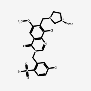 CCS(=O)(=O)c1ccc(Cl)cc1Cn1cnc2c(Cl)c(CN3CC[C@@H](NC)C3)c(OC(F)(F)F)cc2c1=O